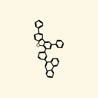 c1ccc(-c2ccc3oc4c(-c5cccc(-c6cc7ccccc7c7ccccc67)c5)cc(-c5ccccc5)cc4c3c2)cc1